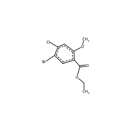 CCOC(=O)c1cc(Br)c(Cl)cc1OC